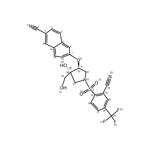 N#Cc1ccc2cc(O[C@H]3CN(S(=O)(=O)c4ccc(C(F)(F)F)cc4C#N)C[C@@]3(O)CO)ccc2c1